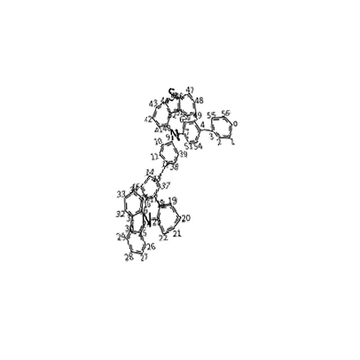 c1ccc(-c2ccc(N(c3ccc(-c4cccc(-c5ccccc5-n5c6ccccc6c6ccccc65)c4)cc3)c3cccc4sc5ccccc5c34)cc2)cc1